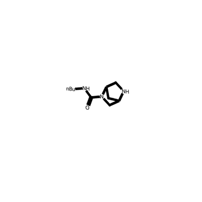 CCCCNC(=O)N1CC2CC1CN2